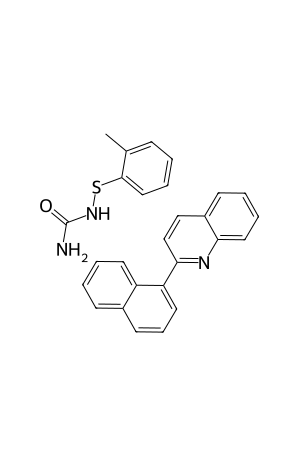 Cc1ccccc1SNC(N)=O.c1ccc2nc(-c3cccc4ccccc34)ccc2c1